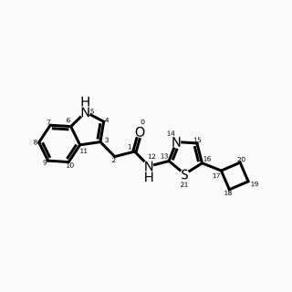 O=C(Cc1c[nH]c2ccccc12)Nc1ncc(C2CCC2)s1